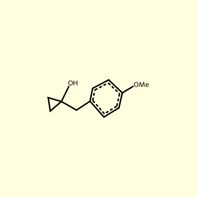 COc1ccc(CC2(O)CC2)cc1